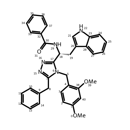 COc1ccc(Cn2c(Cc3ccccc3)nnc2[C@@H](Cc2c[nH]c3ccccc23)NC(=O)c2ccccc2)c(OC)c1